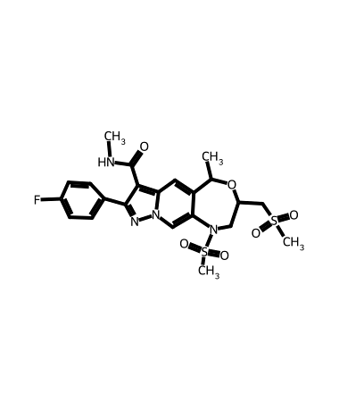 CNC(=O)c1c(-c2ccc(F)cc2)nn2cc3c(cc12)C(C)OC(CS(C)(=O)=O)CN3S(C)(=O)=O